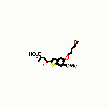 COc1cc2sc(C(=O)CC(C)C(=O)O)cc2cc1OCCCCBr